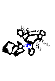 CC1(C)c2ccccc2-c2c1c1c(c3c4ccccc4n(-c4ccc5c6c(cccc46)-c4ccccc4-5)c23)C(C)(C)c2ccccc2-1